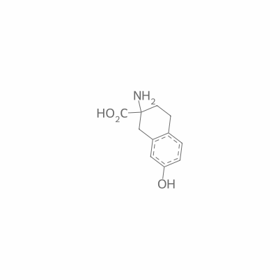 NC1(C(=O)O)CCc2ccc(O)cc2C1